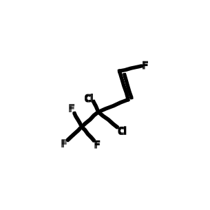 FC=CC(Cl)(Cl)C(F)(F)F